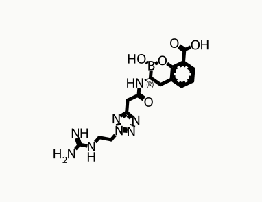 N=C(N)NCCn1nnc(CC(=O)N[C@H]2Cc3cccc(C(=O)O)c3OB2O)n1